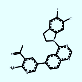 CC(=O)c1cc(-c2ccc3ncnc(N4CCc5cc(F)c(Cl)cc54)c3c2)cnc1N